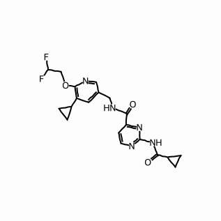 O=C(NCc1cnc(OCC(F)F)c(C2CC2)c1)c1ccnc(NC(=O)C2CC2)n1